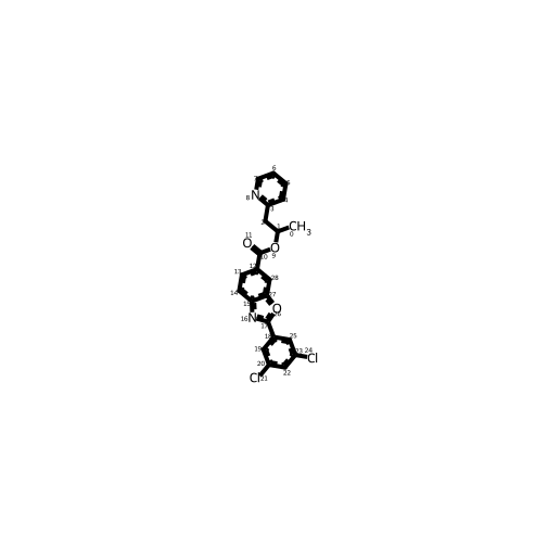 CC(Cc1ccccn1)OC(=O)c1ccc2nc(-c3cc(Cl)cc(Cl)c3)oc2c1